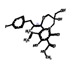 C=Nc1c(O)c(C(=O)NC)c(=O)n2c1/C(=C(\C)Cc1ccc(F)cc1)OCC(O)(CO)C2